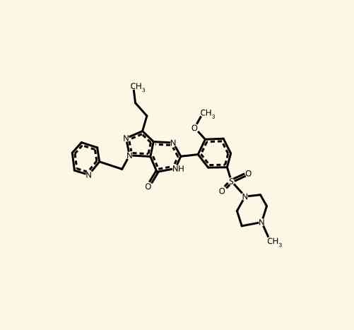 CCCc1nn(Cc2ccccn2)c2c(=O)[nH]c(-c3cc(S(=O)(=O)N4CCN(C)CC4)ccc3OC)nc12